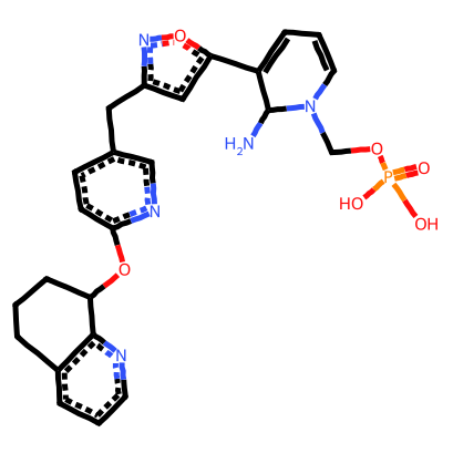 NC1C(c2cc(Cc3ccc(OC4CCCc5cccnc54)nc3)no2)=CC=CN1COP(=O)(O)O